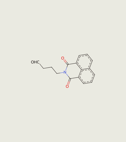 O=CCCCN1C(=O)c2cccc3cccc(c23)C1=O